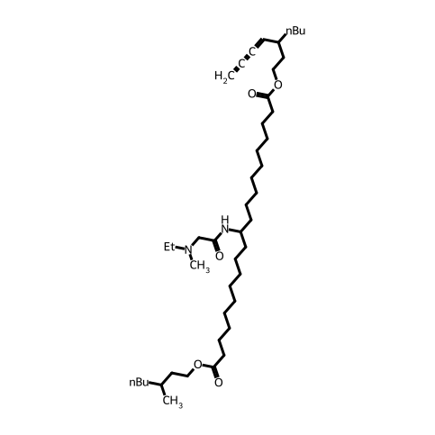 C=C=C=CC(CCCC)CCOC(=O)CCCCCCCCCC(CCCCCCCCCC(=O)OCCC(C)CCCC)NC(=O)CN(C)CC